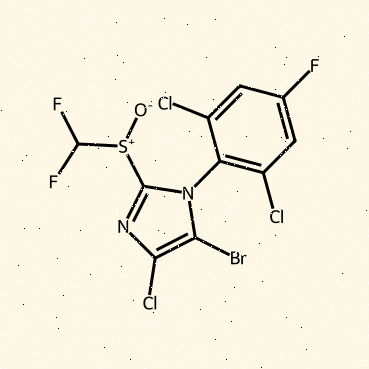 [O-][S+](c1nc(Cl)c(Br)n1-c1c(Cl)cc(F)cc1Cl)C(F)F